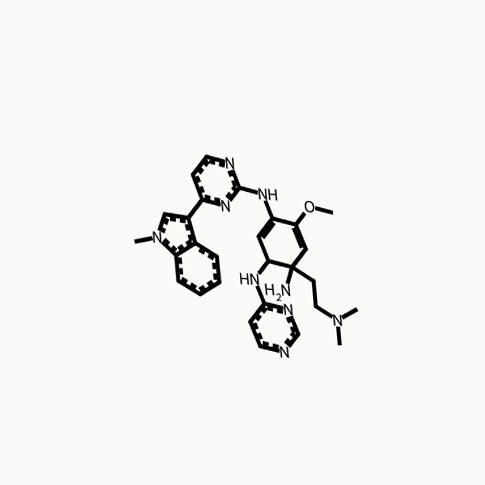 COC1=CC(N)(CCN(C)C)C(Nc2ccncn2)C=C1Nc1nccc(-c2cn(C)c3ccccc23)n1